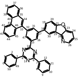 c1ccc(-c2nc(-c3ccccc3)nc(-c3cc(-c4ccc5oc6cccnc6c5c4)cc(-c4cc5ccccc5c5ccccc45)c3)n2)cc1